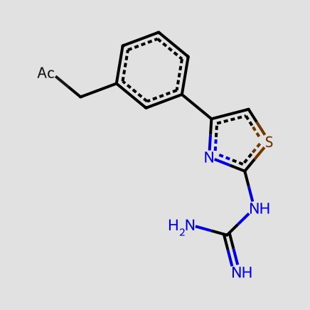 CC(=O)Cc1cccc(-c2csc(NC(=N)N)n2)c1